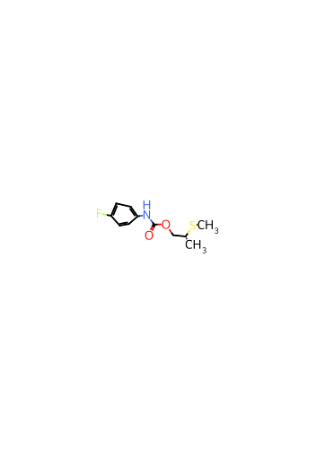 CS[C@H](C)COC(=O)Nc1ccc(F)cc1